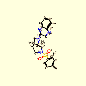 Cc1ccc(S(=O)(=O)N2CC[C@H]3CN(c4cnc5ccccc5n4)[C@H]3C2)c(C)c1